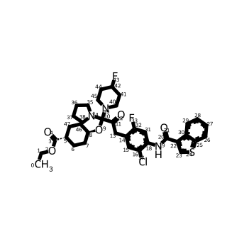 CCOC(=O)[C@H]1CC[C@H](OC(C(=O)Cc2cc(Cl)c(NC(=O)c3csc4ccccc34)cc2F)(N2CCCC2)N2CCC(F)CC2)CC1